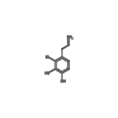 C=CCc1ccc(O)c(S)c1Cl